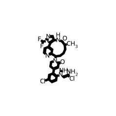 CC1CCCC(N2CCC(c3cc(Cl)ccc3N(N)/C=C(\N)Cl)=CC2=O)c2cc(ccn2)-c2c(cnn2C(F)F)NC1=O